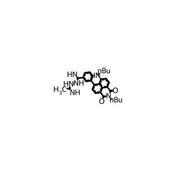 CCCCNc1ccc2c3c(ccc(-c4cccc(C(=N)NNC(C)=N)c4)c13)C(=O)N(CCCC)C2=O